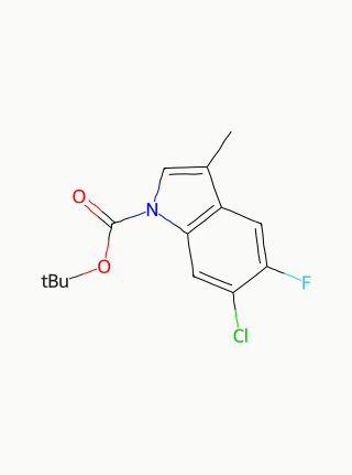 Cc1cn(C(=O)OC(C)(C)C)c2cc(Cl)c(F)cc12